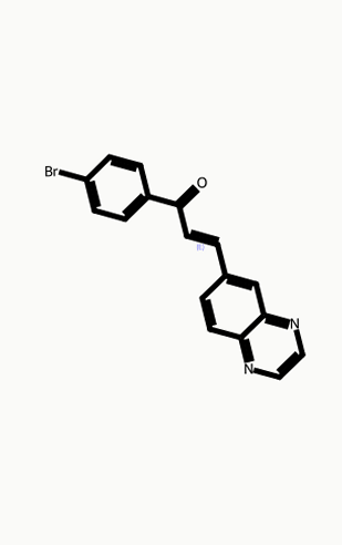 O=C(/C=C/c1ccc2nccnc2c1)c1ccc(Br)cc1